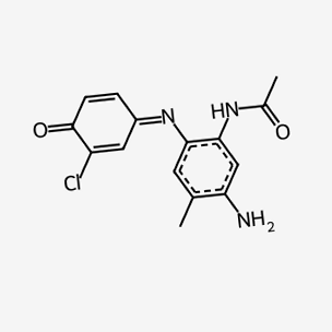 CC(=O)Nc1cc(N)c(C)cc1N=C1C=CC(=O)C(Cl)=C1